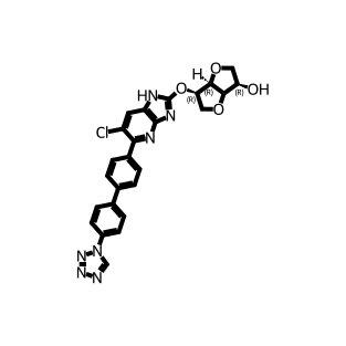 O[C@@H]1CO[C@H]2C1OC[C@H]2Oc1nc2nc(-c3ccc(-c4ccc(-n5cnnn5)cc4)cc3)c(Cl)cc2[nH]1